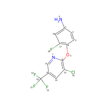 Nc1ccc(Oc2ncc(C(F)(F)F)cc2Cl)c(F)c1